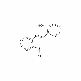 Oc1ccccc1C=Nc1ccccc1SS